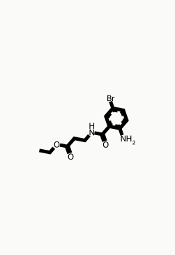 CCOC(=O)CCNC(=O)c1cc(Br)ccc1N